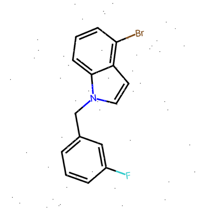 Fc1cccc(Cn2ccc3c(Br)cccc32)c1